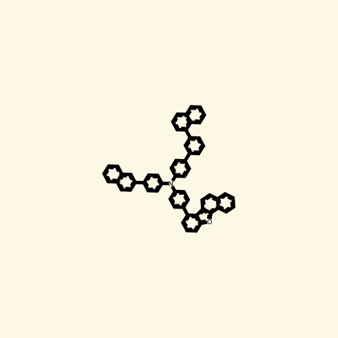 c1cc(-c2ccc(N(c3ccc(-c4ccc5ccccc5c4)cc3)c3ccc(-c4cccc5oc6c7ccccc7ccc6c45)cc3)cc2)cc(-c2cccc3ccccc23)c1